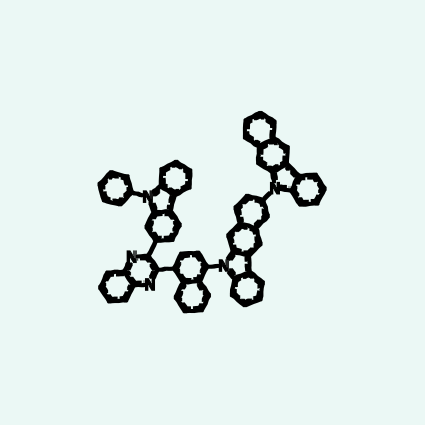 c1ccc(-n2c3ccccc3c3ccc(-c4nc5ccccc5nc4-c4ccc(-n5c6ccccc6c6cc7cc(-n8c9ccccc9c9cc%10ccccc%10cc98)ccc7cc65)c5ccccc45)cc32)cc1